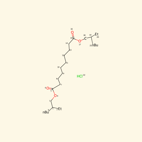 CCCCC(CC)COC(=O)CCCCCCCCC(=O)OCC(CC)CCCC.Cl